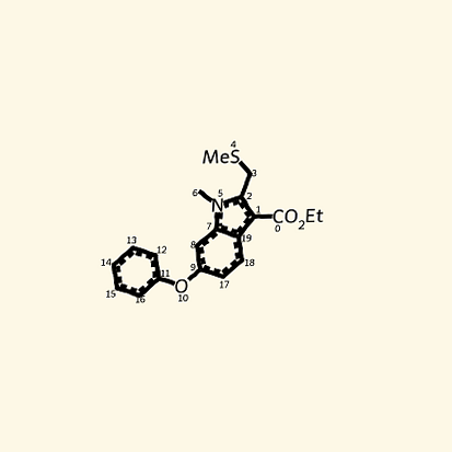 CCOC(=O)c1c(CSC)n(C)c2cc(Oc3ccccc3)ccc12